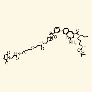 CCCN(CCCNC(=O)OC(C)(C)C)C(=O)C1=Cc2ccc(-c3cccc(S(=O)(=O)N4CC(CNC(=O)CCOCCOCCNC(=O)CCN5C(=O)C=CC5=O)C4)c3)cc2N=C(N)C1